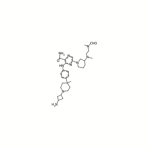 CN(C=O)CCN(C)C1CCCN(c2cnc(C(N)=O)c(Nc3ccc(C4(C)CCN(C5CC(N)C5)CC4)cc3)n2)C1